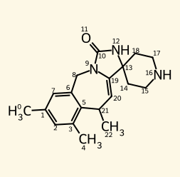 Cc1cc(C)c2c(c1)CN1C(=O)NC3(CCNCC3)C1=CC2C